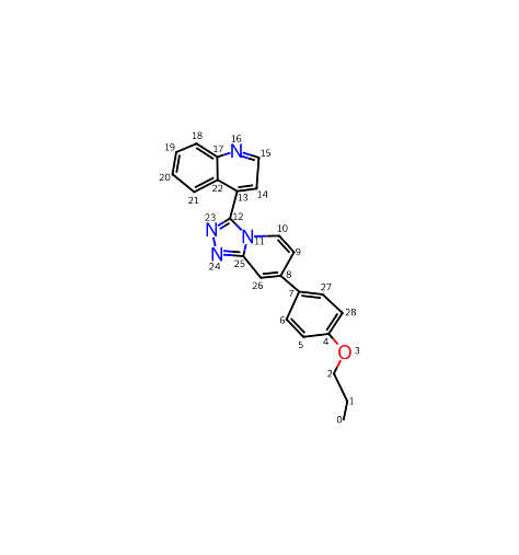 CCCOc1ccc(-c2ccn3c(-c4ccnc5ccccc45)nnc3c2)cc1